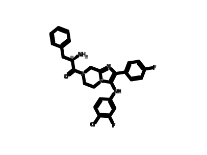 N[C@H](Cc1ccccc1)C(=O)N1CCn2c(nc(-c3ccc(F)cc3)c2Nc2ccc(Cl)c(F)c2)C1